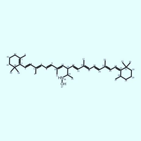 CC1=C(/C=C/C(C)=C/C=C/C(C)=C/C(/C=C/C(C)=C/C=C/C(C)=C/C=C2\C(C)CCCC2(C)C)C(C)NO)C(C)(C)CCC1